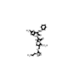 C=CCn1nnnc1SCC1=C(C(=O)O)N2C(=O)C(NC(=O)/C(=N\OC3C=CCCC3)c3csc(N)n3)[C@H]2SC1